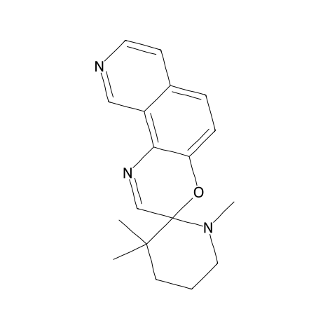 CN1CCCC(C)(C)C12C=Nc1c(ccc3ccncc13)O2